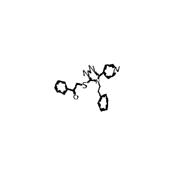 O=C(CSc1nnc(-c2ccncc2)n1CCc1ccccc1)c1ccccc1